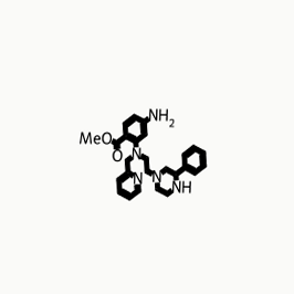 COC(=O)c1ccc(N)cc1N(CCN1CCNC(c2ccccc2)C1)Cc1ccccn1